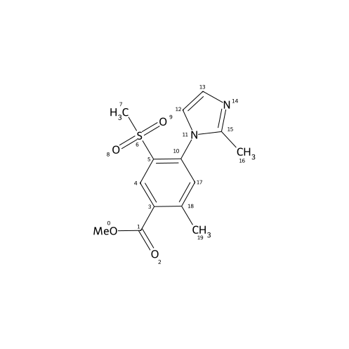 COC(=O)c1cc(S(C)(=O)=O)c(-n2ccnc2C)cc1C